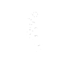 CC(C)(C)C(=O)OCOC(=O)[C@@H]1N2C(=O)[C@@H](NC(=O)C(N)c3ccccc3)[C@H]2SC1(C)C